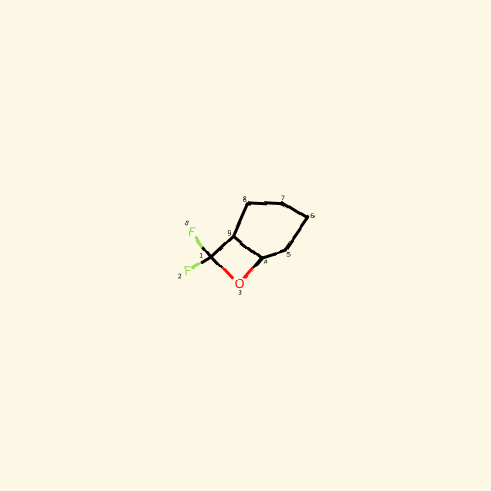 FC1(F)OC2CCCCC21